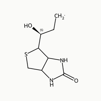 [CH2]C[C@H](O)C1SCC2NC(=O)NC21